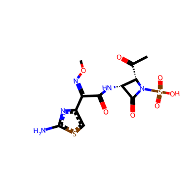 CON=C(C(=O)N[C@H]1C(=O)N(S(=O)(=O)O)[C@H]1C(C)=O)c1csc(N)n1